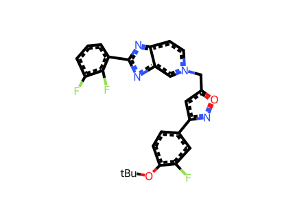 CC(C)(C)Oc1ccc(-c2cc(Cn3ccc4nc(-c5cccc(F)c5F)nc-4c3)on2)cc1F